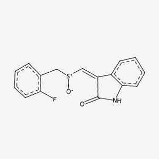 O=C1Nc2ccccc2C1=C[S+]([O-])Cc1ccccc1F